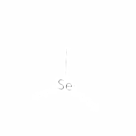 C[Se](C)C